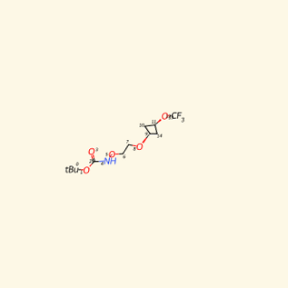 CC(C)(C)OC(=O)NOCCO[C@H]1C[C@@H](OC(F)(F)F)C1